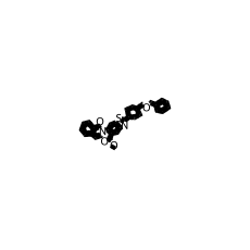 COC(=O)c1cc2nc(C3CCC(COCc4ccccc4)CC3)sc2cc1-n1ccc2ccccc2c1=O